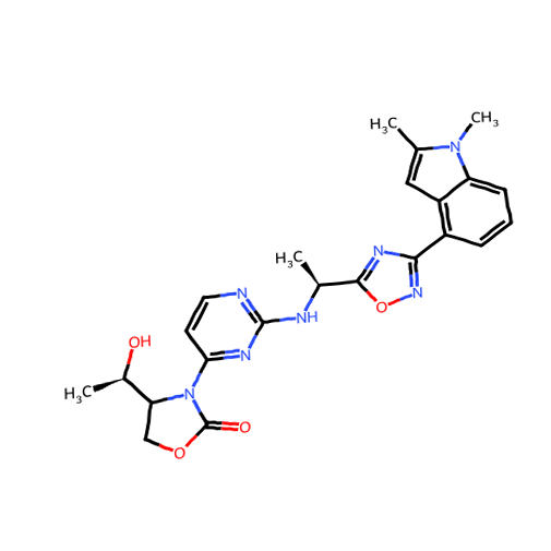 Cc1cc2c(-c3noc([C@H](C)Nc4nccc(N5C(=O)OCC5[C@@H](C)O)n4)n3)cccc2n1C